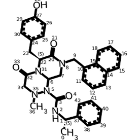 C[C@H](NC(=O)N1C2CN(Cc3cccc4ccccc34)C(=O)[C@H](Cc3ccc(O)cc3)N2C(=O)CN1C)c1ccccc1